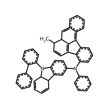 CC1C=CC2=C3C(=c4ccccc4=CC31)c1cccc(N(c3ccccc3)c3ccc4c(c3)C3C=CC=CC3N4c3ccccc3-c3ccccc3)c12